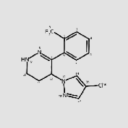 FC(F)(F)c1ccccc1C1=NNCCC1n1cc(Cl)cn1